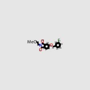 COCCN1C(=O)c2ccc(OCc3cccc(F)c3)cc2C1=O